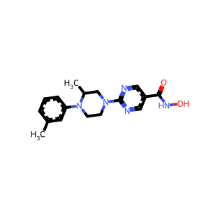 Cc1cccc(N2CCN(c3ncc(C(=O)NO)cn3)CC2C)c1